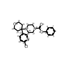 O=C(Oc1ccccc1)N1CCN(C2(c3ccc(Cl)nc3)CCOCC2)CC1